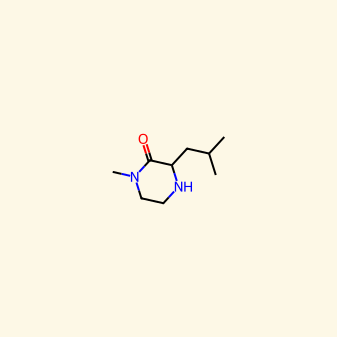 CC(C)CC1NCCN(C)C1=O